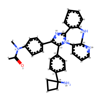 CC(=O)N(C)c1ccc(-c2nc3n(c2-c2ccc(C4(N)CCC4)cc2)-c2cccnc2Nc2ccccc2-3)cc1